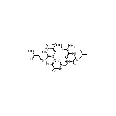 CC(C)C[C@H](NC(=O)[C@@H](N)CO)C(=O)NCC(=O)N[C@@H](C)C(=O)N[C@@H](CCC(=O)O)C(=O)N[C@@H](C)C(=O)O